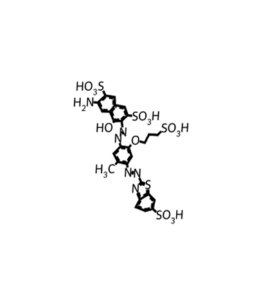 Cc1cc(N=Nc2c(S(=O)(=O)O)cc3cc(S(=O)(=O)O)c(N)cc3c2O)c(OCCCS(=O)(=O)O)cc1N=Nc1nc2ccc(S(=O)(=O)O)cc2s1